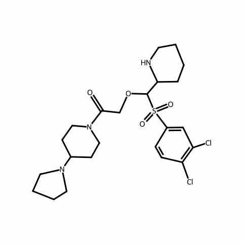 O=C(COC(C1CCCCN1)S(=O)(=O)c1ccc(Cl)c(Cl)c1)N1CCC(N2CCCC2)CC1